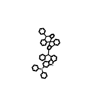 c1ccc(C2c3ccccc3C3(c4ccccc4-c4cc(C(c5ccccc5)c5cccc6sc7cc(N(c8ccccc8)c8ccccc8)ccc7c56)ccc43)c3ccccc32)cc1